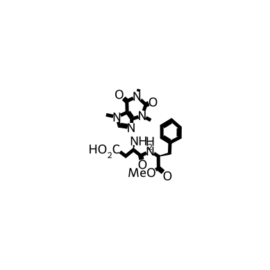 COC(=O)[C@H](Cc1ccccc1)NC(=O)[C@@H](N)CC(=O)O.Cn1c(=O)c2c(ncn2C)n(C)c1=O